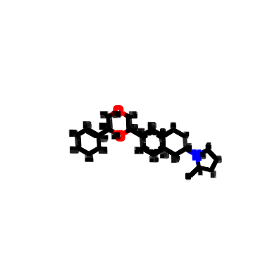 CC1CCCN1C1CCc2cc(C3=COC=C(C4=CC=CCC4)O3)ccc2C1